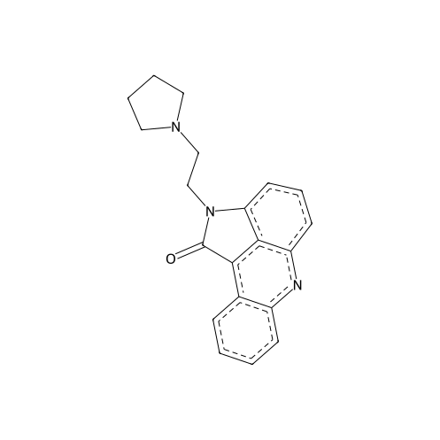 O=C1c2c3ccccc3nc3cccc(c23)N1CCN1CCCC1